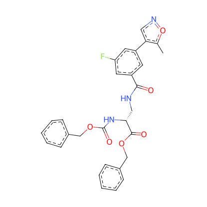 Cc1oncc1-c1cc(F)cc(C(=O)NC[C@@H](NC(=O)OCc2ccccc2)C(=O)OCc2ccccc2)c1